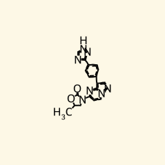 CC1CN(c2ccn3ncc(-c4ccc(-c5nc[nH]n5)cc4)c3n2)C(=O)O1